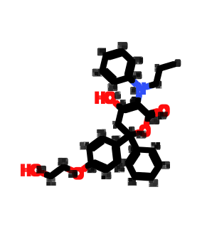 CCCN(C1=C(O)CC(c2ccccc2)(c2ccc(OCCO)cc2)OC1=O)c1ccccc1